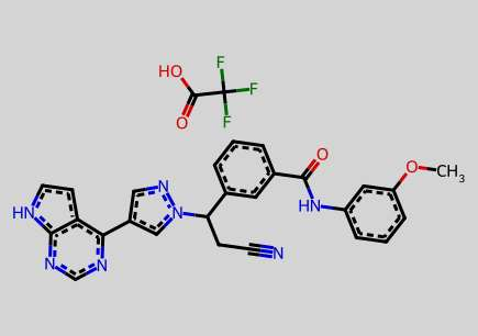 COc1cccc(NC(=O)c2cccc(C(CC#N)n3cc(-c4ncnc5[nH]ccc45)cn3)c2)c1.O=C(O)C(F)(F)F